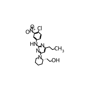 CCCc1cc(N2CCCC[C@H]2CCO)nc(Nc2ccc(Cl)c([N+](=O)[O-])c2)n1